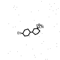 CCCCC1(C#N)CCCC(C2CCC(CC)CC2)C1